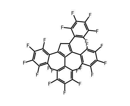 Fc1c(F)c(F)c(C2=C(c3c(F)c(F)c(F)c(F)c3F)C(c3c(F)c(F)c(F)c(F)c3F)=C(c3c(F)c(F)c(F)c(F)c3F)C2)c(F)c1F